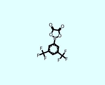 O=C1OB(c2cc(C(F)(F)F)cc(C(F)(F)F)c2)OC1=O